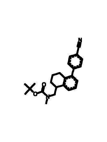 CN(CC1CCCc2c(-c3ccc(C#N)cc3)cccc21)C(=O)OC(C)(C)C